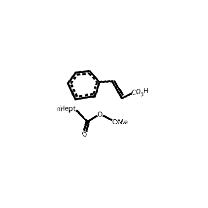 CCCCCCCC(=O)OOC.O=C(O)C=Cc1ccccc1